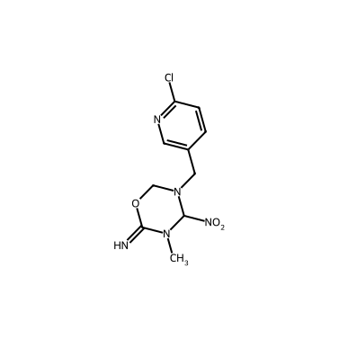 CN1C(=N)OCN(Cc2ccc(Cl)nc2)C1[N+](=O)[O-]